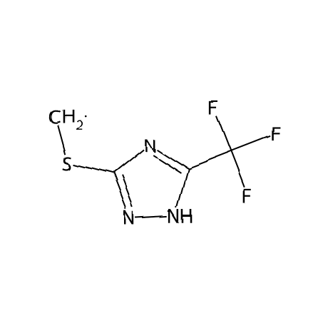 [CH2]Sc1n[nH]c(C(F)(F)F)n1